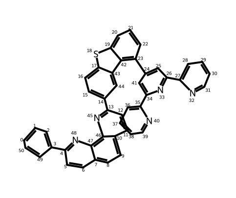 c1ccc(-c2ccc3ccc4ccc(-c5ccc6sc7cccc(-c8cc(-c9ccccn9)nc(-c9ccccn9)c8)c7c6c5)nc4c3n2)cc1